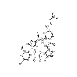 CN(C)CCOc1ccc(C(=O)Nc2n[nH]c3c2CN(S(=O)(=O)c2cc(F)cc(F)c2)CC3)c(NC(=O)c2cc[nH]c2)c1